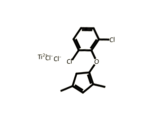 CC1=CC(C)=C(Oc2c(Cl)cccc2Cl)C1.[Cl-].[Cl-].[Ti+2]